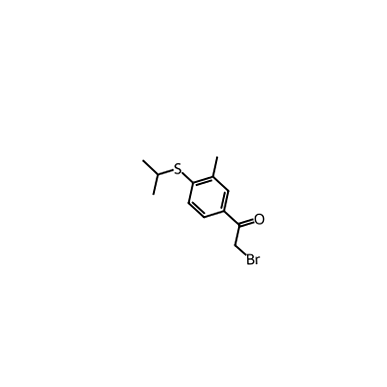 Cc1cc(C(=O)CBr)ccc1SC(C)C